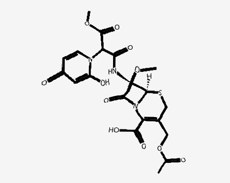 COC(=O)C(C(=O)N[C@]1(OC)C(=O)N2C(C(=O)O)=C(COC(C)=O)CS[C@@H]21)n1ccc(=O)cc1O